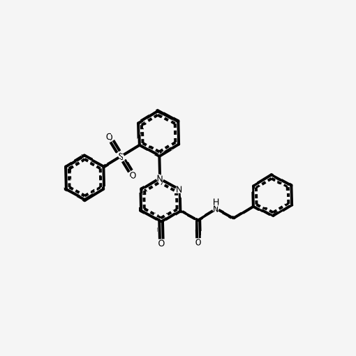 O=C(NCc1ccccc1)c1nn(-c2ccccc2S(=O)(=O)c2ccccc2)ccc1=O